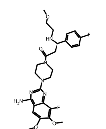 COCCN[C@H](CC(=O)N1CCN(c2nc(N)c3cc(OC)c(OC)c(F)c3n2)CC1)c1ccc(F)cc1